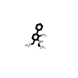 C=CNc1c(CC)ccc(-c2ccccc2)c1C